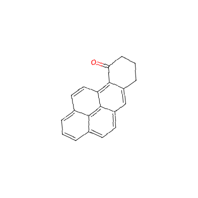 O=C1CCCc2cc3ccc4cccc5ccc(c21)c3c45